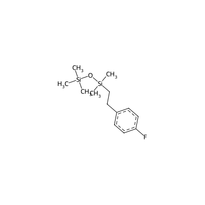 C[Si](C)(C)O[Si](C)(C)CCc1ccc(F)cc1